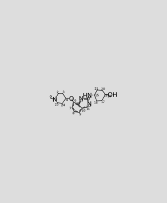 CN1CCC(Oc2cccc3cnc(N[C@H]4CC[C@H](O)CC4)nc23)CC1